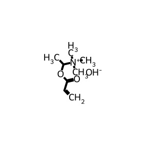 C=CC(=O)OC(C)[N+](C)(C)C.[OH-]